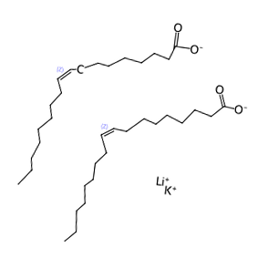 CCCCCCCC/C=C\CCCCCCCC(=O)[O-].CCCCCCCC/C=C\CCCCCCCC(=O)[O-].[K+].[Li+]